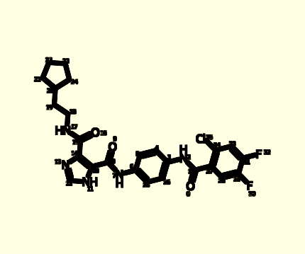 O=C(Nc1ccc(NC(=O)c2[nH]cnc2C(=O)NCCC2CCCC2)cc1)c1cc(F)c(F)cc1Cl